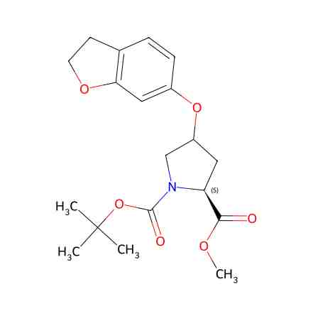 COC(=O)[C@@H]1CC(Oc2ccc3c(c2)OCC3)CN1C(=O)OC(C)(C)C